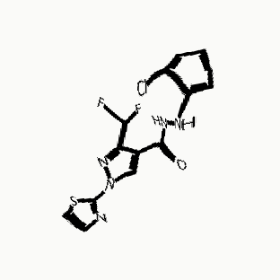 O=C(NNc1ccccc1Cl)c1cn(-c2nccs2)nc1C(F)F